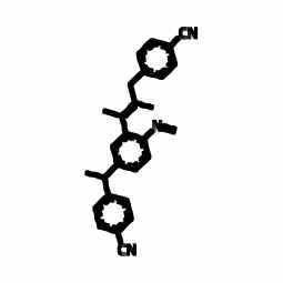 C=Nc1ccc(C(C)c2ccc(C#N)cc2)cc1/C(C)=C(\C)Cc1ccc(C#N)cc1